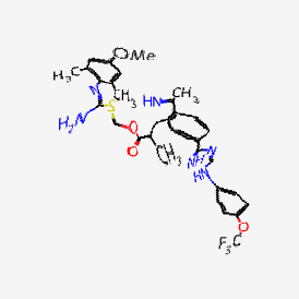 COc1cc(C)c(/N=C(/N)SCOC(=O)C(C)Cc2cc(C(=N)/N=C\Nc3ccc(OC(F)(F)F)cc3)ccc2C(C)=N)c(C)c1